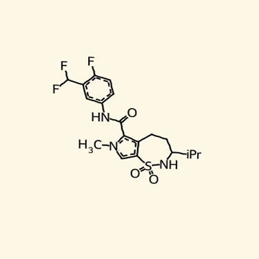 CC(C)C1CCc2c(cn(C)c2C(=O)Nc2ccc(F)c(C(F)F)c2)S(=O)(=O)N1